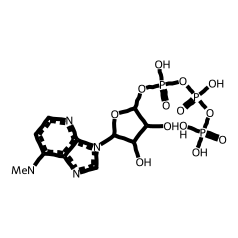 CNc1ccnc2c1ncn2C1OC(OP(=O)(O)OP(=O)(O)OP(=O)(O)O)C(O)C1O